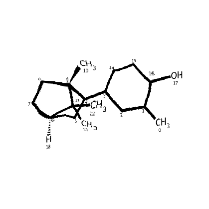 CC1CC(C2C[C@H]3CC[C@@]2(C)C3(C)C)CCC1O